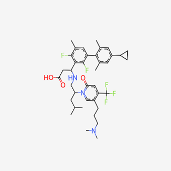 Cc1cc(-c2c(C)cc(C3CC3)cc2C)c(F)c(C(CC(=O)O)NCC(CC(C)C)n2cc(CCCN(C)C)c(C(F)(F)F)cc2=O)c1F